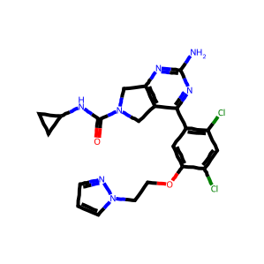 Nc1nc2c(c(-c3cc(OCCn4cccn4)c(Cl)cc3Cl)n1)CN(C(=O)NC1CC1)C2